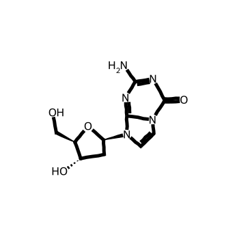 Nc1nc(=O)n2ccn([C@H]3C[C@H](O)[C@@H](CO)O3)c2n1